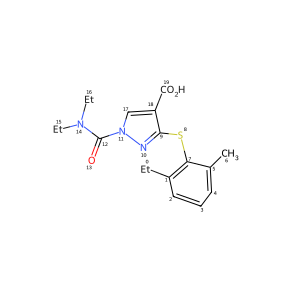 CCc1cccc(C)c1Sc1nn(C(=O)N(CC)CC)cc1C(=O)O